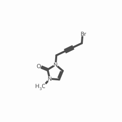 Cn1ccn(CC#CCBr)c1=O